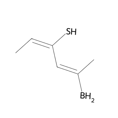 B/C(C)=C/C(S)=C\C